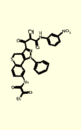 CCC(=O)C(=O)Nc1ccc2c(c1)-c1c(c(C(=O)C(C#N)C(=O)Nc3cccc([N+](=O)[O-])c3)nn1-c1ccccc1)CS2